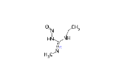 CCN/C(=N/C)NN=O